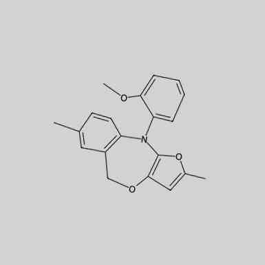 COc1ccccc1N1c2ccc(C)cc2COc2cc(C)oc21